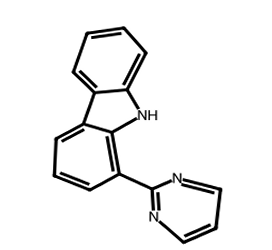 c1cnc(-c2cccc3c2[nH]c2ccccc23)nc1